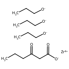 CCCC(=O)CC(=O)[O-].CCC[O-].CCC[O-].CCC[O-].[Zr+4]